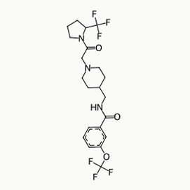 O=C(NCC1CCN(CC(=O)N2CCCC2C(F)(F)F)CC1)c1cccc(OC(F)(F)F)c1